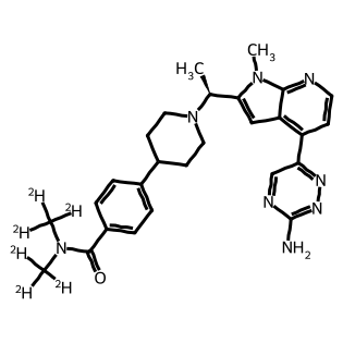 [2H]C([2H])([2H])N(C(=O)c1ccc(C2CCN([C@@H](C)c3cc4c(-c5cnc(N)nn5)ccnc4n3C)CC2)cc1)C([2H])([2H])[2H]